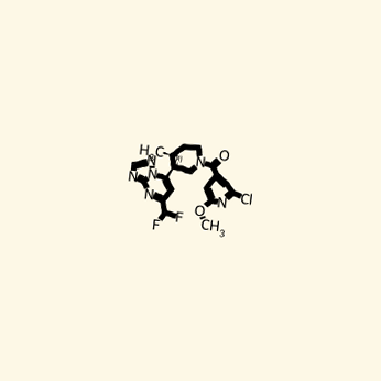 COc1cc(C(=O)N2CC[C@@H](C)[C@H](c3cc(C(F)F)nc4ncnn34)C2)cc(Cl)n1